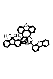 CC1(C)c2ccccc2-c2ccc(C3=NC(c4cccc5c4sc4ccccc45)=NC(c4cccc5sc6cccc(-c7ccccc7)c6c45)N3)cc21